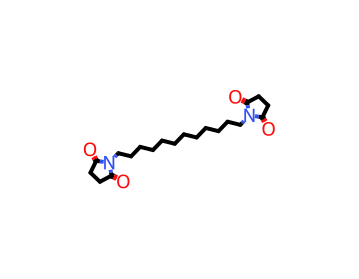 O=C1CCC(=O)N1CCCCCCCCCCCCN1C(=O)CCC1=O